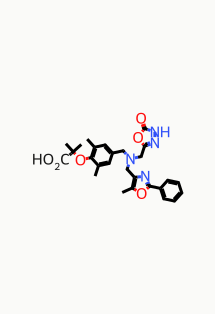 Cc1cc(CN(Cc2n[nH]c(=O)o2)Cc2nc(-c3ccccc3)oc2C)cc(C)c1OC(C)(C)C(=O)O